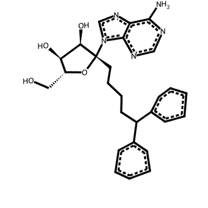 Nc1ncnc2c1ncn2[C@]1(CCCCC(c2ccccc2)c2ccccc2)O[C@H](CO)[C@@H](O)[C@H]1O